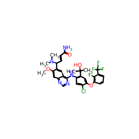 COc1cc2ncnc(Nc3cc(Cl)c(Oc4cccc(C(F)(F)F)c4F)cc3C(C)(C)O)c2cc1C(C=CC(N)=O)N(C)C